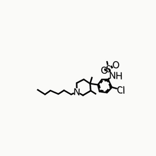 CCCCCCN1CCC(C)(c2ccc(Cl)c(NS(C)(=O)=O)c2)C(C)C1